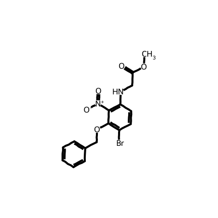 COC(=O)CNc1ccc(Br)c(OCc2ccccc2)c1[N+](=O)[O-]